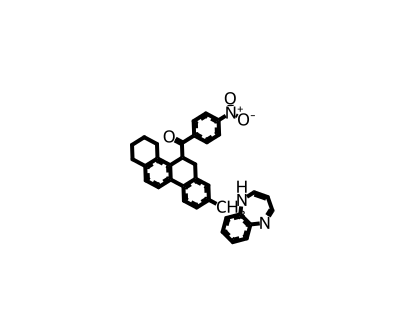 C1=CNc2ccccc2N=C1.Cc1ccc2c(c1)CC(C(=O)c1ccc([N+](=O)[O-])cc1)c1c-2ccc2c1CCCC2